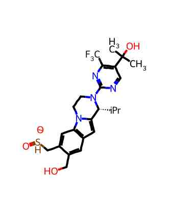 CC(C)[C@@H]1c2cc3cc(CO)c(C[SH](=O)=O)cc3n2CCN1c1ncc(C(C)(C)O)c(C(F)(F)F)n1